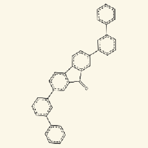 O=C1c2cc(-c3cccc(-c4ccccc4)c3)ccc2-c2ccc(-c3cccc(-c4ccccc4)c3)cc21